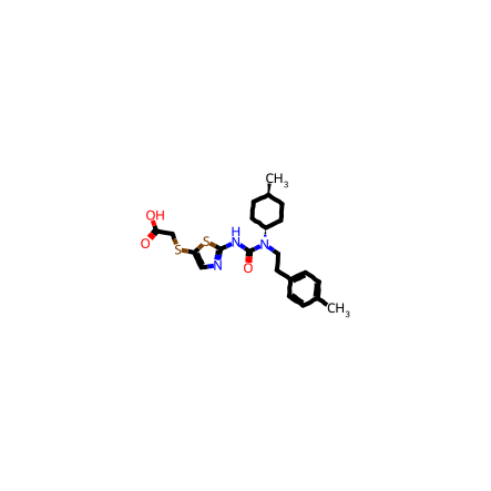 Cc1ccc(CCN(C(=O)Nc2ncc(SCC(=O)O)s2)[C@H]2CC[C@H](C)CC2)cc1